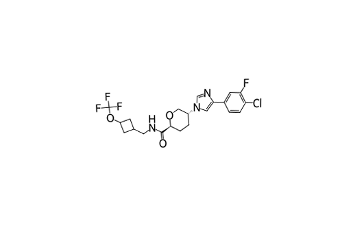 O=C(NCC1CC(OC(F)(F)F)C1)[C@@H]1CC[C@@H](n2cnc(-c3ccc(Cl)c(F)c3)c2)CO1